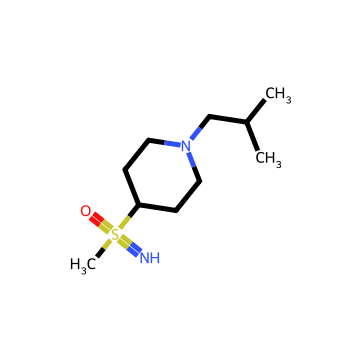 CC(C)CN1CCC(S(C)(=N)=O)CC1